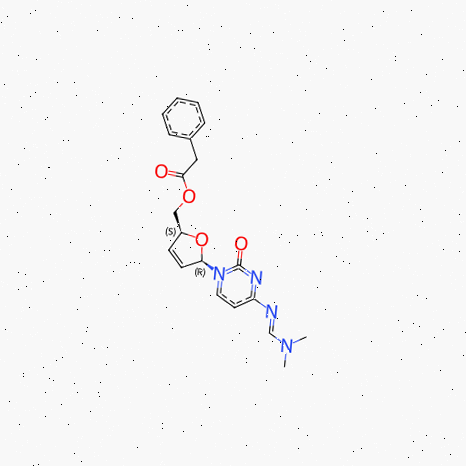 CN(C)C=Nc1ccn([C@H]2C=C[C@@H](COC(=O)Cc3ccccc3)O2)c(=O)n1